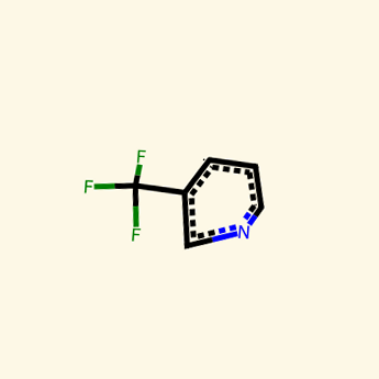 FC(F)(F)c1[c]ccnc1